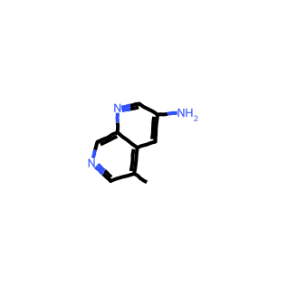 Cc1cncc2ncc(N)cc12